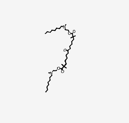 CCCCCCCCN(C)CCOC(=O)C(C)(C)CCCCCC(=O)CCCCCC(C)(C)C(=O)OCCN(C)CCCCCCCC